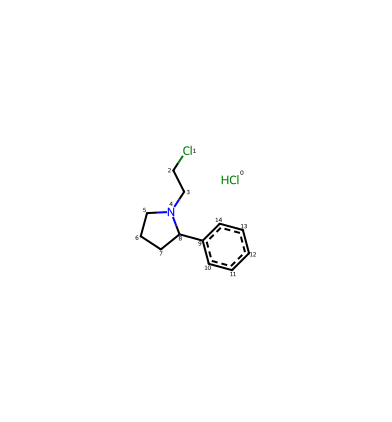 Cl.ClCCN1CCCC1c1ccccc1